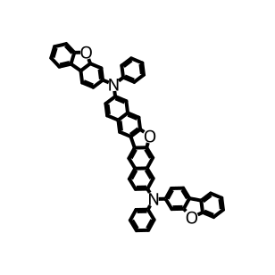 C1=CC2c3ccccc3OC2C=C1N(c1ccccc1)c1ccc2cc3c(cc2c1)oc1cc2cc(N(c4ccccc4)c4ccc5c(c4)oc4ccccc45)ccc2cc13